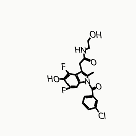 Cc1c(CC(=O)NCCO)c2c(F)c(O)c(F)cc2n1C(=O)c1cccc(Cl)c1